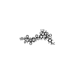 CC(=O)c1ccc(-n2c(=O)n3n(c2=O)C2C(=CC3)C(C)(C)Oc3cc(OC(=O)N4CCN(C(=O)C(NC(=O)OC(C)(C)C)C(C)C)CC4)ccc32)cc1